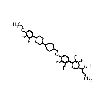 CCCC(O)c1ccc(-c2ccc(OCC3CCC(C4CCC(c5ccc(OCC)c(F)c5F)CC4)CC3)c(F)c2F)c(F)c1F